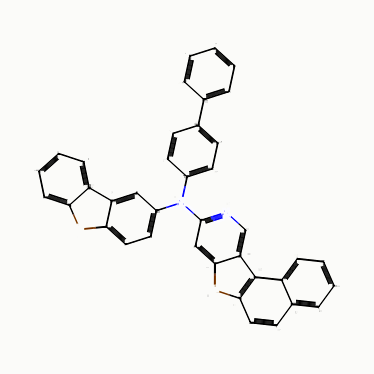 c1ccc(-c2ccc(N(c3ccc4sc5ccccc5c4c3)c3cc4sc5ccc6ccccc6c5c4cn3)cc2)cc1